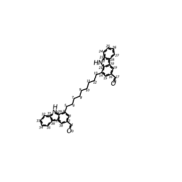 O=Cc1cc(CCCCCCCCCc2cc(C=O)cc3c2[nH]c2ccccc23)c2[nH]c3ccccc3c2c1